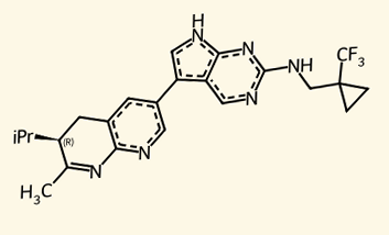 CC1=Nc2ncc(-c3c[nH]c4nc(NCC5(C(F)(F)F)CC5)ncc34)cc2C[C@@H]1C(C)C